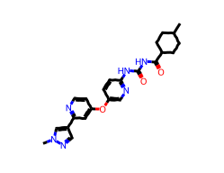 CC1CCC(C(=O)NC(=O)Nc2ccc(Oc3ccnc(-c4cnn(C)c4)c3)cn2)CC1